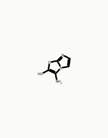 Nc1c(O)oc2nccn12